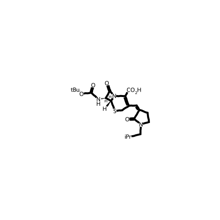 CC(C)CN1CCC(=CC2=C(C(=O)O)N3C(=O)[C@@H](NC(=O)OC(C)(C)C)[C@H]3SC2)C1=O